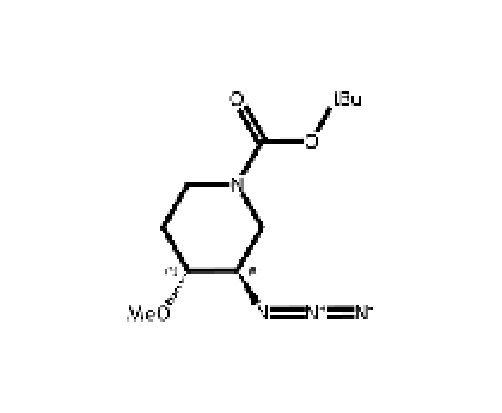 CO[C@@H]1CCN(C(=O)OC(C)(C)C)C[C@H]1N=[N+]=[N-]